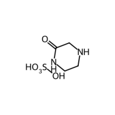 O=C1CNCCN1.O=S(=O)(O)O